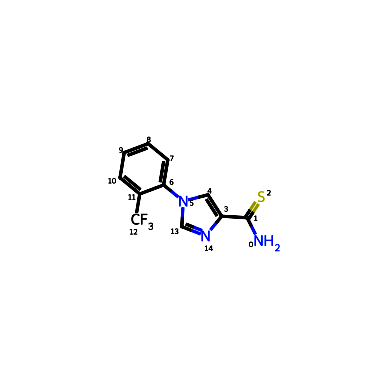 NC(=S)c1cn(-c2ccccc2C(F)(F)F)cn1